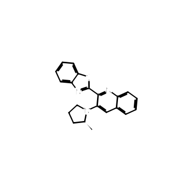 C[C@H]1CCCN1c1cc2ccccc2nc1-c1nc2ccccc2s1